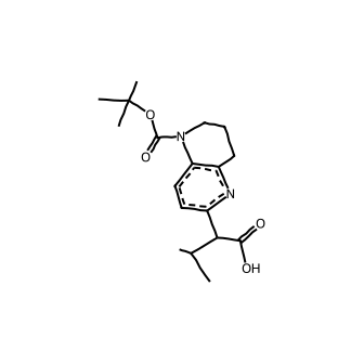 CC(C)C(C(=O)O)c1ccc2c(n1)CCCN2C(=O)OC(C)(C)C